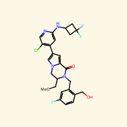 COCC1Cn2cc(-c3cc(NC4CC(F)(F)C4)ncc3Cl)cc2C(=O)N1Cc1cc(F)ccc1CO